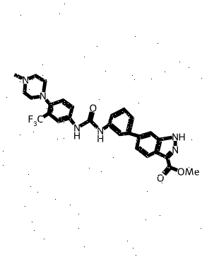 COC(=O)c1n[nH]c2cc(-c3cccc(NC(=O)Nc4ccc(N5CCN(C)CC5)c(C(F)(F)F)c4)c3)ccc12